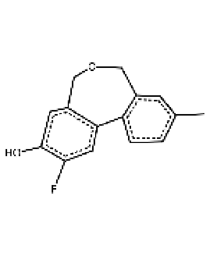 Cc1ccc2c(c1)COCc1cc(O)c(F)cc1-2